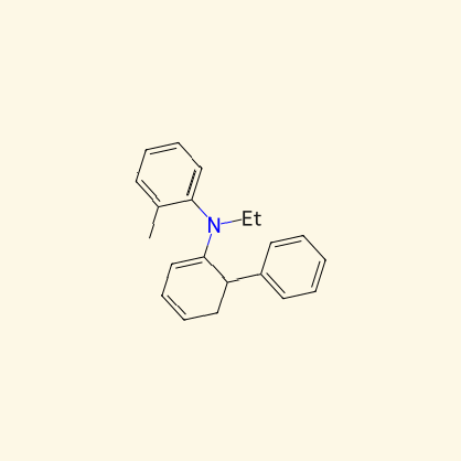 CCN(C1=CC=CCC1c1ccccc1)c1ccccc1C